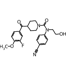 COc1ccc(C(=O)C2CCN(C(=O)N(CCO)c3ccc(C#N)cc3)CC2)cc1F